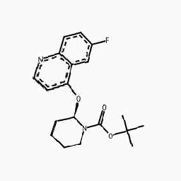 CC(C)(C)OC(=O)N1CCCC[C@H]1Oc1ccnc2ccc(F)cc12